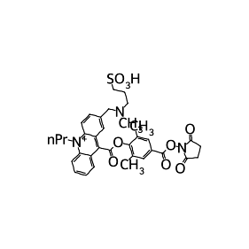 CCC[n+]1c2ccccc2c(C(=O)Oc2c(C)cc(C(=O)ON3C(=O)CCC3=O)cc2C)c2cc(CN(C)CCCS(=O)(=O)O)ccc21